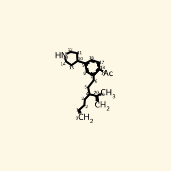 C=CCCC(CCc1cc(C2CCNCC2)ccc1C(C)=O)C(=C)C